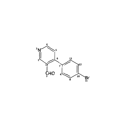 O=Cc1cnccc1-c1ccc(Br)cc1